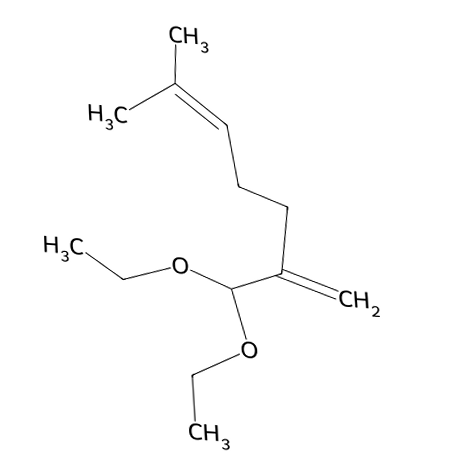 C=C(CCC=C(C)C)C(OCC)OCC